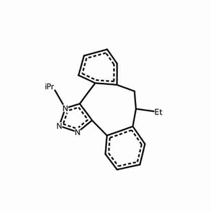 CCC1Cc2ccccc2-c2c(nnn2C(C)C)-c2ccccc21